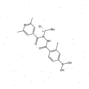 CC[C@@H](N(NC(=O)c1ccc(B(O)O)cc1F)C(=O)c1cc(C)nc(C)c1)C(C)(C)C